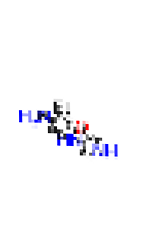 CCc1cc(C(=O)NC2CCNCC2)ccc1N